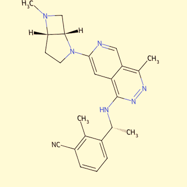 Cc1c(C#N)cccc1[C@@H](C)Nc1nnc(C)c2cnc(N3CC[C@H]4[C@@H]3CN4C)cc12